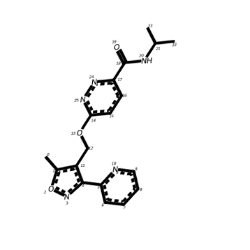 Cc1onc(-c2ccccn2)c1COc1ccc(C(=O)NC(C)C)nn1